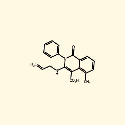 C=CCNc1c(C(=O)O)c2c(C)cccc2c(=O)n1-c1ccccc1